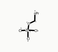 CCCC[O][Zr]([Cl])([Cl])[Cl]